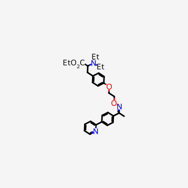 CCOC(=O)C(Cc1ccc(OCCO/N=C(/C)c2ccc(-c3ccccn3)cc2)cc1)N(CC)CC